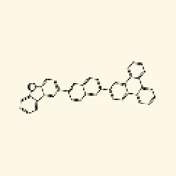 c1ccc2c(c1)oc1ccc(-c3ccc4cc(-c5ccc6c7ccccc7c7ccccc7c6c5)ccc4c3)cc12